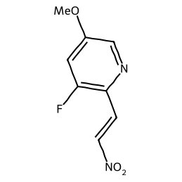 COc1cnc(C=C[N+](=O)[O-])c(F)c1